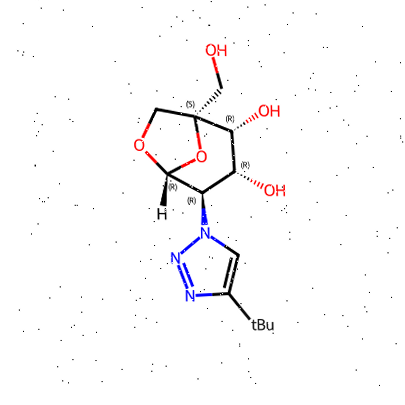 CC(C)(C)c1cn([C@H]2[C@@H]3OC[C@](CO)(O3)[C@H](O)[C@@H]2O)nn1